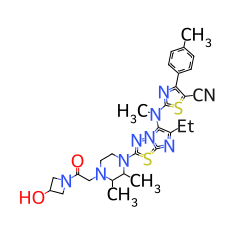 CCc1nc2sc(N3CCN(CC(=O)N4CC(O)C4)C(C)C3C)nn2c1N(C)c1nc(-c2ccc(C)cc2)c(C#N)s1